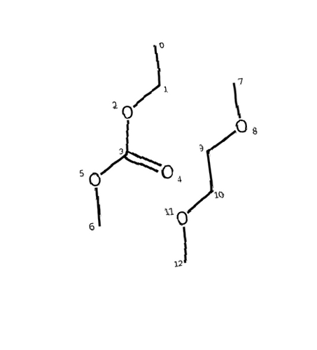 CCOC(=O)OC.COCCOC